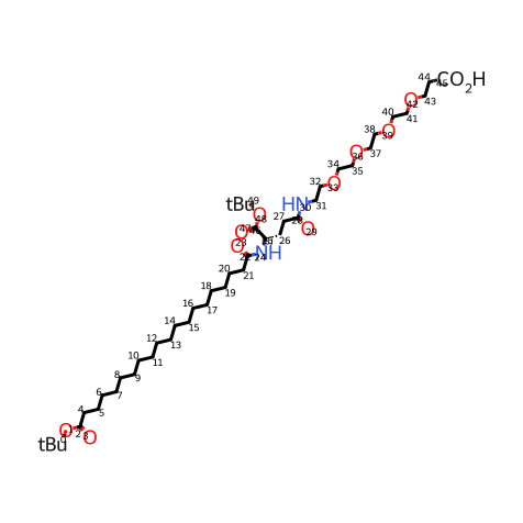 CC(C)(C)OC(=O)CCCCCCCCCCCCCCCCCCC(=O)N[C@@H](CCC(=O)NCCOCCOCCOCCOCCC(=O)O)C(=O)OC(C)(C)C